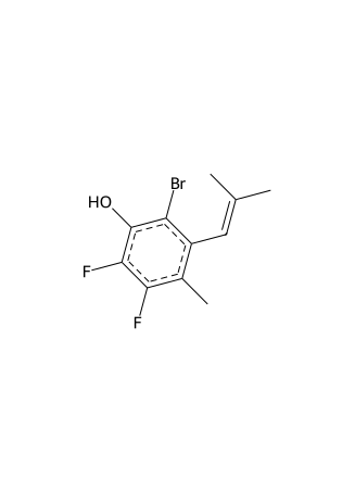 CC(C)=Cc1c(C)c(F)c(F)c(O)c1Br